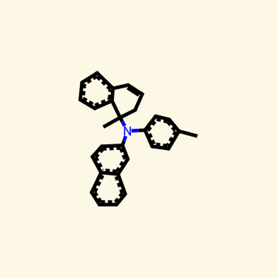 Cc1ccc(N(c2ccc3ccccc3c2)C2(C)CC=Cc3ccccc32)cc1